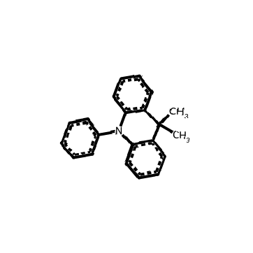 CC1(C)c2c[c]ccc2N(c2ccccc2)c2ccccc21